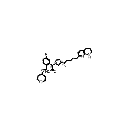 O=C(O)[C@@H](c1cc(F)ccc1COC1CCOCC1)N1CC[C@@H]([C@@H](F)CCCCc2ccc3c(n2)NCCC3)C1